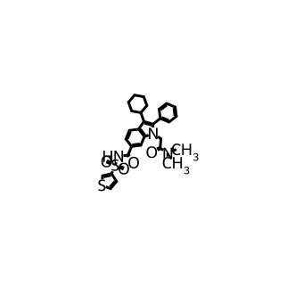 CN(C)C(=O)Cn1c(-c2ccccc2)c(C2CCCCC2)c2ccc(C(=O)NS(=O)(=O)c3ccsc3)cc21